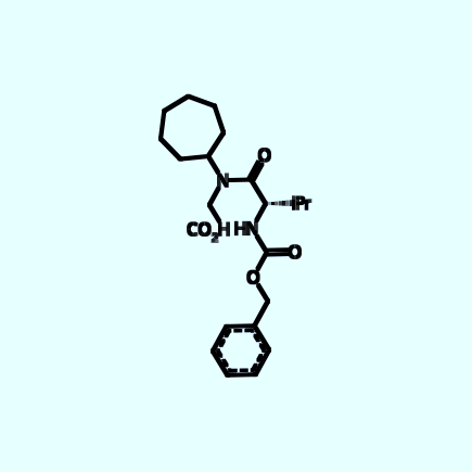 CC(C)[C@H](NC(=O)OCc1ccccc1)C(=O)N(CC(=O)O)C1CCCCCC1